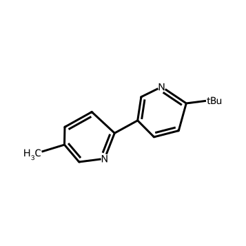 Cc1ccc(-c2ccc(C(C)(C)C)nc2)nc1